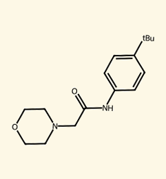 CC(C)(C)c1ccc(NC(=O)CN2CCOCC2)cc1